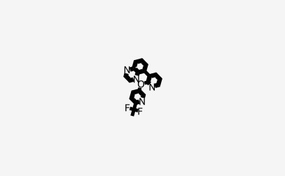 CC(F)(F)c1ccc(Oc2ncccc2-c2cccc3nccnc23)cn1